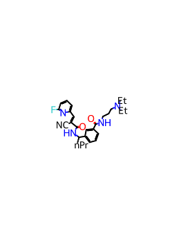 CCCC(NC(=O)/C(C#N)=C/c1cccc(F)n1)c1cccc(C(=O)NCCCN(CC)CC)c1